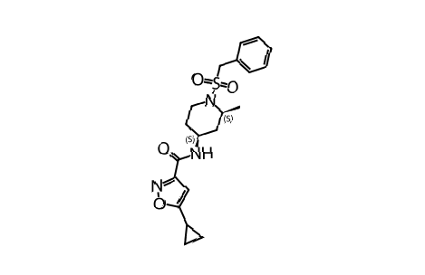 C[C@H]1C[C@@H](NC(=O)c2cc(C3CC3)on2)CCN1S(=O)(=O)Cc1ccccc1